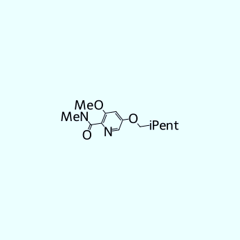 CCCC(C)COc1cnc(C(=O)NC)c(OC)c1